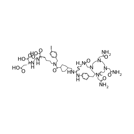 NC(=O)CN1CCN(CC(N)=O)CCN(CC(N)=O)C(Cc2ccc(NC(=S)NCC3CCC(C(=O)N(CCCC[C@@H](NC(=O)N[C@H](CCC(=O)O)C(=O)O)C(=O)O)Cc4ccc(I)cc4)CC3)cc2)CN(CC(N)=O)CC1